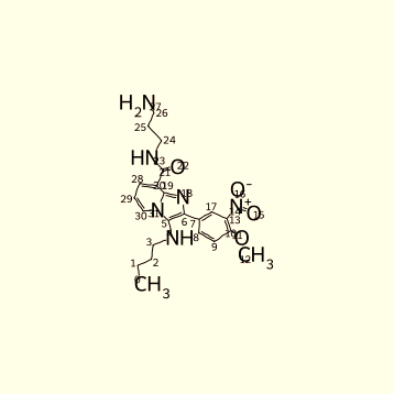 CCCCNc1c(-c2ccc(OC)c([N+](=O)[O-])c2)nc2c(C(=O)NCCCN)cccn12